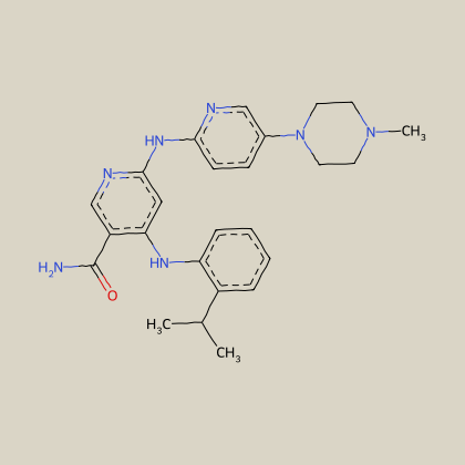 CC(C)c1ccccc1Nc1cc(Nc2ccc(N3CCN(C)CC3)cn2)ncc1C(N)=O